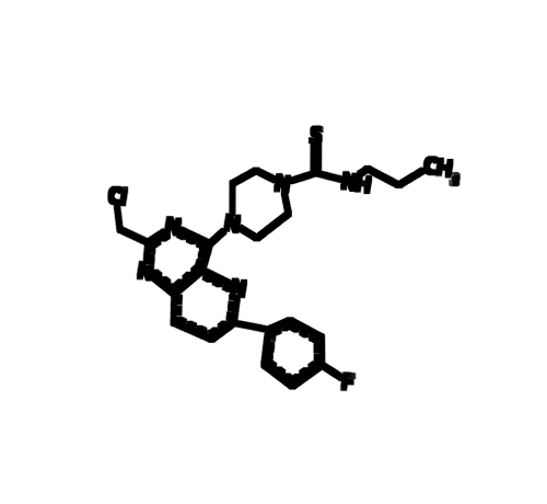 CCCNC(=S)N1CCN(c2nc(CCl)nc3ccc(-c4ccc(F)cc4)nc23)CC1